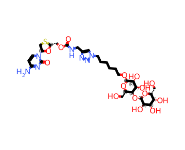 Nc1ccn([C@@H]2CS[C@H](COC(=O)NCc3cn(CCCCCCO[C@@H]4O[C@H](CO)[C@@H](O[C@@H]5O[C@H](CO)[C@H](O)[C@H](O)[C@H]5O)[C@H](O)[C@H]4O)nn3)O2)c(=O)n1